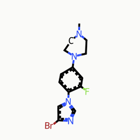 CN1CCN(c2ccc(-n3cnc(Br)c3)c(F)c2)CC1